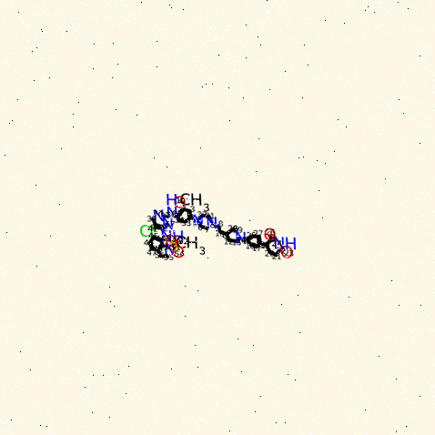 COc1cc(N2CCN(CCC3CCN(c4ccc(C5CCC(=O)NC5=O)cc4)CC3)CC2)ccc1Nc1ncc(Cl)c(Nc2cccc3c2N(S(C)(=O)=O)CC3)n1